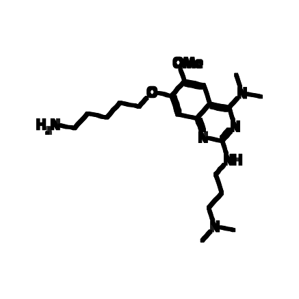 COc1cc2c(N(C)C)nc(NCCCN(C)C)nc2cc1OCCCCCN